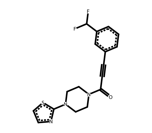 O=C(C#Cc1cccc(C(F)F)c1)N1CCN(c2nccs2)CC1